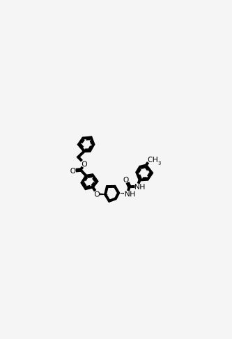 Cc1ccc(NC(=O)N[C@H]2CC[C@H](Oc3ccc(C(=O)OCc4ccccc4)cc3)CC2)cc1